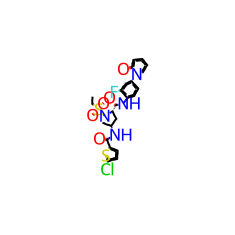 CCS(=O)(=O)N1C[C@@H](NC(=O)c2ccc(Cl)s2)C[C@H]1C(=O)Nc1ccc(-n2ccccc2=O)cc1F